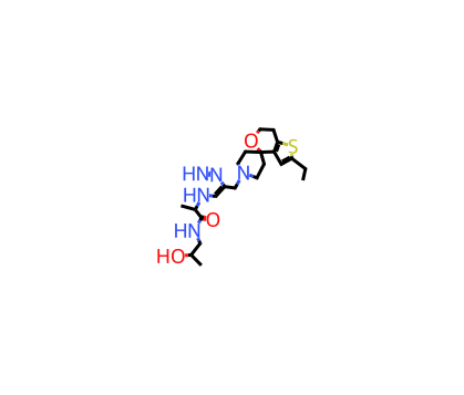 CCc1cc2c(s1)CCOC21CCN(C/C(=C/NC(C)C(=O)NCC(C)O)N=N)CC1